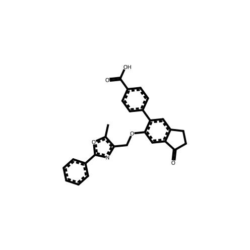 Cc1oc(-c2ccccc2)nc1COc1cc2c(cc1-c1ccc(C(=O)O)cc1)CCC2=O